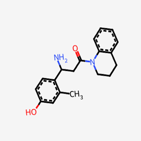 Cc1cc(O)ccc1C(N)CC(=O)N1CCCc2ccccc21